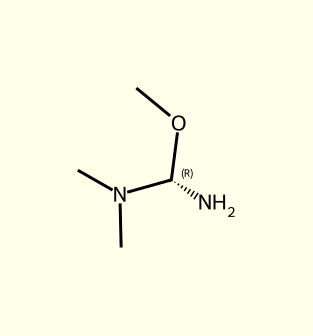 CO[C@H](N)N(C)C